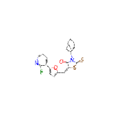 O=C1/C(=C\c2ccc(-c3cccnc3F)o2)SC(=S)N1C1CC2CCC1C2